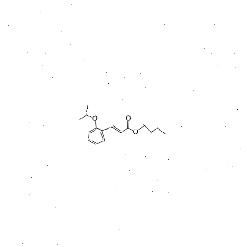 CCCCOC(=O)C=Cc1ccccc1OC(C)C